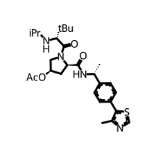 CC(=O)O[C@@H]1C[C@H](C(=O)N[C@H](C)c2ccc(-c3scnc3C)cc2)N(C(=O)[C@H](NC(C)C)C(C)(C)C)C1